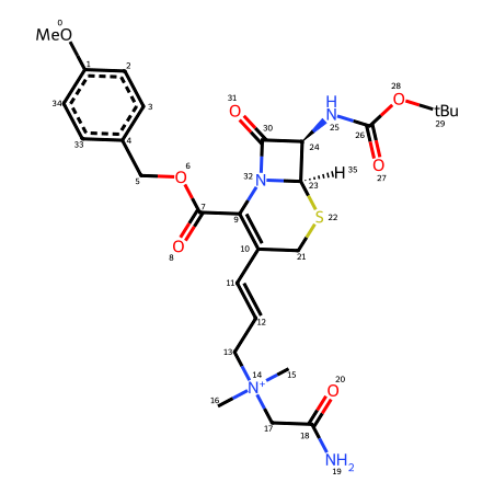 COc1ccc(COC(=O)C2=C(/C=C/C[N+](C)(C)CC(N)=O)CS[C@@H]3[C@H](NC(=O)OC(C)(C)C)C(=O)N23)cc1